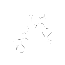 Cc1nc(C(=O)N(CCNC(=O)c2nn(C)c3ccccc23)C2CC2)c(-c2ccc(C(F)(F)F)cc2)s1